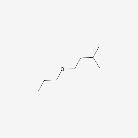 CCCOCCC(C)C